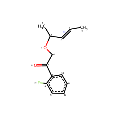 C/C=C/C(C)OCC(=O)c1ccccc1F